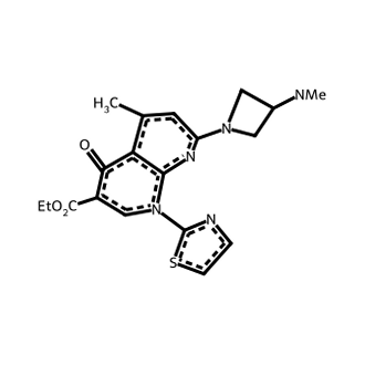 CCOC(=O)c1cn(-c2nccs2)c2nc(N3CC(NC)C3)cc(C)c2c1=O